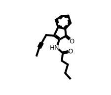 CC#CCC1=C(NC(=O)CCCC)C(=O)c2ccccc21